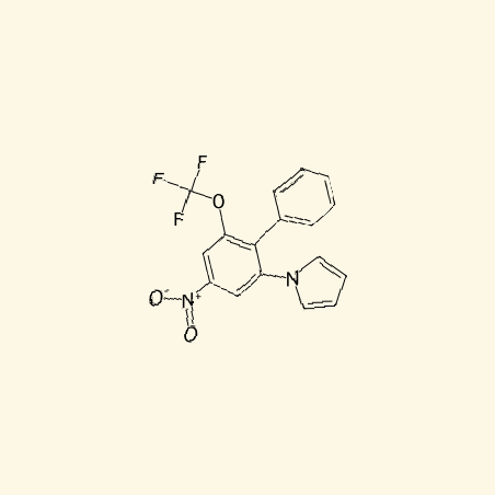 O=[N+]([O-])c1cc(OC(F)(F)F)c(-c2ccccc2)c(-n2cccc2)c1